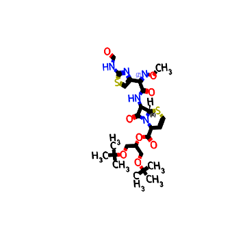 CO/N=C(\C(=O)NC1C(=O)N2C(C(=O)OC(COC(C)(C)C)COC(C)(C)C)C=CS[C@H]12)c1csc(NC=O)n1